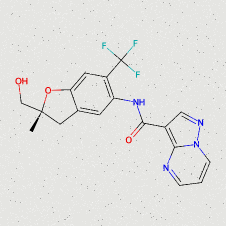 C[C@]1(CO)Cc2cc(NC(=O)c3cnn4cccnc34)c(C(F)(F)F)cc2O1